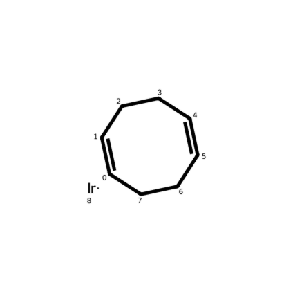 C1=C\CC/C=C\CC/1.[Ir]